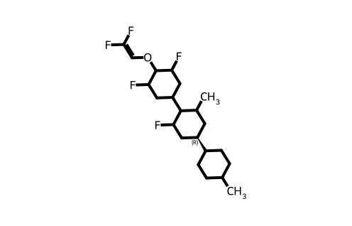 CC1CCC([C@@H]2CC(C)C(C3CC(F)C(OC=C(F)F)C(F)C3)C(F)C2)CC1